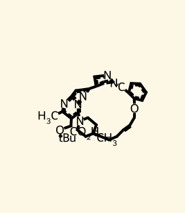 Cc1nc2cc3nn2c(c1[C@H](OC(C)(C)C)C(=O)O)N1CCC(C)(CC/C=C/COc2ccccc2Cn2cc-3cn2)CC1